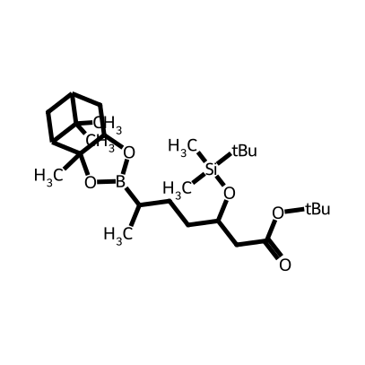 CC(CCC(CC(=O)OC(C)(C)C)O[Si](C)(C)C(C)(C)C)B1OC2CC3CC(C3(C)C)C2(C)O1